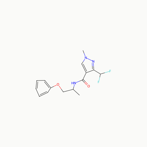 CC(COc1ccccc1)NC(=O)c1cn(C)nc1C(F)F